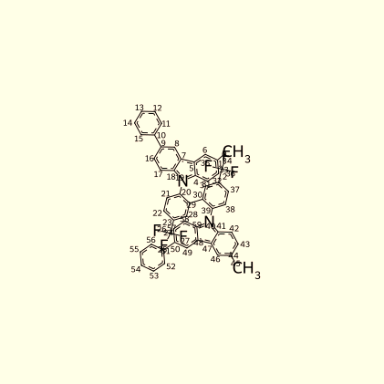 Cc1ccc2c(c1)c1cc(-c3ccccc3)ccc1n2-c1ccc(C(F)(F)F)cc1-c1cc(C(F)(F)F)ccc1-n1c2ccc(C)cc2c2cc(-c3ccccc3)ccc21